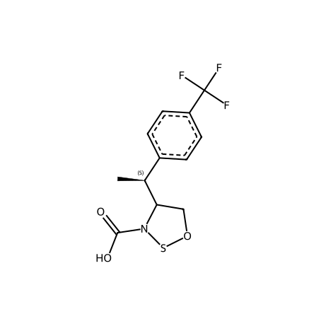 C[C@@H](c1ccc(C(F)(F)F)cc1)C1COSN1C(=O)O